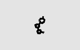 CC1=CN=C(c2cccc(-c3cccc(F)c3)c2)C=CC1